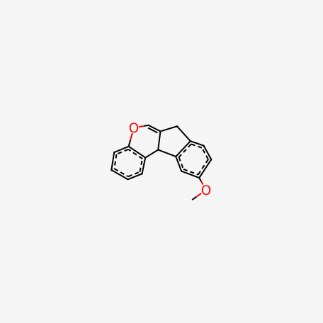 COc1ccc2c(c1)C1C(=COc3ccccc31)C2